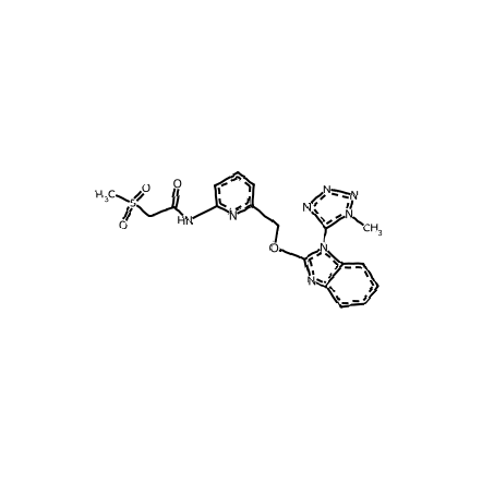 Cn1nnnc1-n1c(OCc2cccc(NC(=O)CS(C)(=O)=O)n2)nc2ccccc21